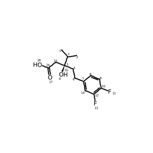 CC(C)[C@](O)(CCc1ccc(F)c(F)c1)CC(=O)O